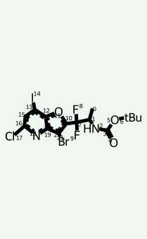 CC(NC(=O)OC(C)(C)C)C(F)(F)c1oc2c(I)cc(Cl)nc2c1Br